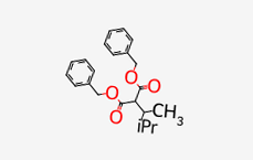 CC(C)C(C)C(C(=O)OCc1ccccc1)C(=O)OCc1ccccc1